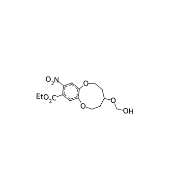 CCOC(=O)c1cc2c(cc1[N+](=O)[O-])OCCC(OCO)CCO2